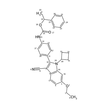 CCOc1ccc2c(C#N)c(-c3ccc(NC(=O)OC(C)c4ccccc4)cc3)n(C3CCC3)c2c1